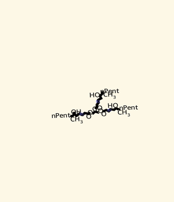 CCCCCC(C)C(O)C/C=C/CC(=O)OCC(COC(=O)C/C=C/CC(O)C(C)CCCCC)OC(=O)C/C=C/CC(O)C(C)CCCCC